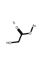 CC(=O)OC(=O)CO.[Ti]